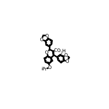 CC(C)Oc1ccc2c(c1)C(c1ccc3c(c1)OCO3)=C(C(=O)O)C(c1ccc3c(c1)OCO3)O2